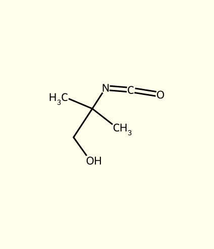 CC(C)(CO)N=C=O